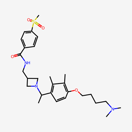 Cc1c(OCCCCN(C)C)ccc(C(C)N2CC(CNC(=O)c3ccc(S(C)(=O)=O)cc3)C2)c1C